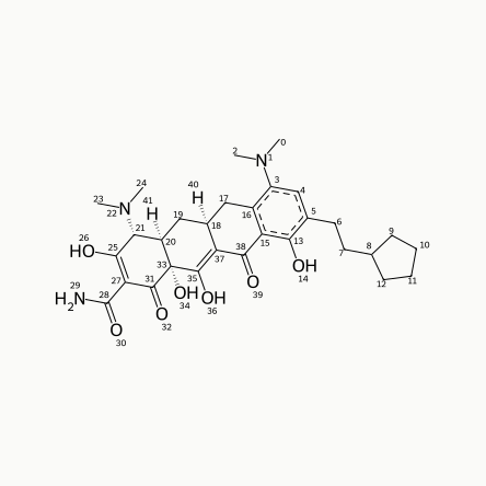 CN(C)c1cc(CCC2CCCC2)c(O)c2c1C[C@@H]1C[C@@H]3[C@@H](N(C)C)C(O)=C(C(N)=O)C(=O)[C@]3(O)C(O)=C1C2=O